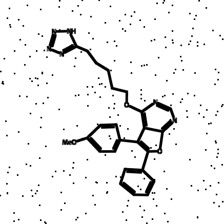 COc1ccc(-c2c(-c3ccccc3)oc3ncnc(OCCCCCc4nnn[nH]4)c23)cc1